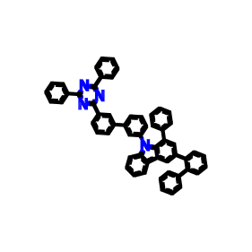 c1ccc(-c2nc(-c3ccccc3)nc(-c3cccc(-c4cccc(-n5c6ccccc6c6cc(-c7ccccc7-c7ccccc7)cc(-c7ccccc7)c65)c4)c3)n2)cc1